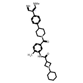 CN/C=C(\C=N)c1ccc(C2CCN(C(=O)c3ccc(C)c(NC(=O)C4CN(C5CCCCC5)C4)c3)CC2)cc1